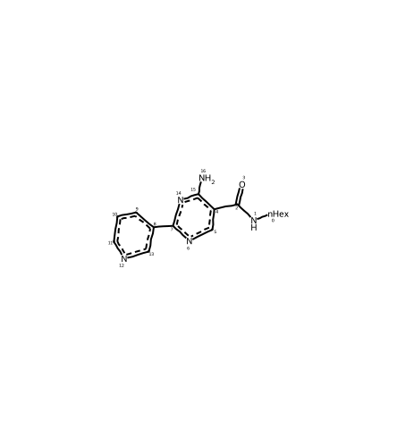 CCCCCCNC(=O)c1cnc(-c2cccnc2)nc1N